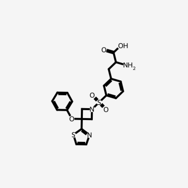 NC(Cc1cccc(S(=O)(=O)N2CC(Oc3ccccc3)(c3nccs3)C2)c1)C(=O)O